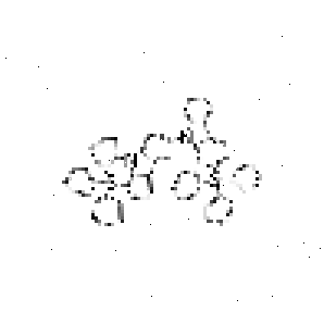 c1ccc(S(c2ccccc2)(c2ccccc2)c2ccc3c4ccccc4n(-c4ccc5c(c4)c4cccc6c4n5-c4ccccc4S6(c4ccccc4)c4ccccc4)c3c2)cc1